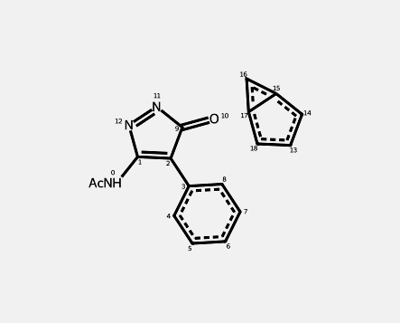 CC(=O)NC1=C(c2ccccc2)C(=O)N=N1.c1cc2cc-2c1